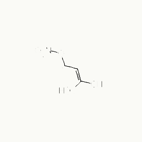 CC(C)=CCO[N+](=O)[O-]